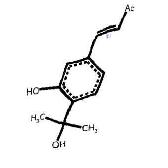 CC(=O)/C=C/c1ccc(C(C)(C)O)c(O)c1